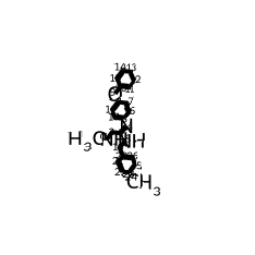 CNC/C(=N\c1ccc(Oc2ccccc2)cc1)NCc1ccc(C)cc1